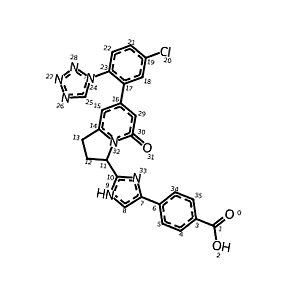 O=C(O)c1ccc(-c2c[nH]c(C3CCc4cc(-c5cc(Cl)ccc5-n5cnnn5)cc(=O)n43)n2)cc1